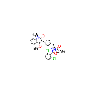 CCCOc1c(-c2ccc(C[C@H](NC(=O)c3c(Cl)cccc3Cl)C(=O)OC)cc2)c(=O)n(C)c2ccccc12